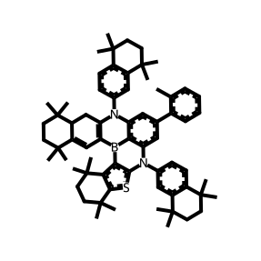 Cc1ccccc1-c1cc2c3c(c1)N(c1ccc4c(c1)C(C)(C)CCC4(C)C)c1sc4c(c1B3C1=C(CC3C(=C1)C(C)(C)CCC3(C)C)N2c1ccc2c(c1)C(C)(C)CCC2(C)C)C(C)(C)CCC4(C)C